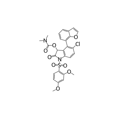 COc1ccc(S(=O)(=O)N2C(=O)C(OC(=O)N(C)C)c3c2ccc(Cl)c3-c2cccc3ccoc23)c(OC)c1